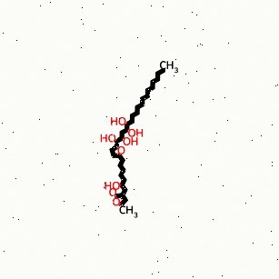 CCCCCCCCCCCCCCC(O)C(O)CC(O)C(O)C1CCC(CCCCCC(O)CC2=CC(C)OC2=O)O1